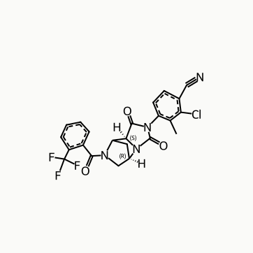 Cc1c(N2C(=O)[C@@H]3C4C[C@H](CN4C(=O)c4ccccc4C(F)(F)F)N3C2=O)ccc(C#N)c1Cl